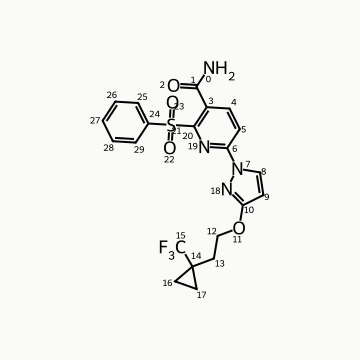 NC(=O)c1ccc(-n2ccc(OCCC3(C(F)(F)F)CC3)n2)nc1S(=O)(=O)c1ccccc1